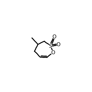 CC1CC=COS(=O)(=O)C1